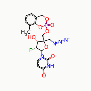 Cc1cccc2c1OP(=O)(OC[C@@]1(CN=[N+]=[N-])O[C@@H](n3ccc(=O)[nH]c3=O)[C@H](F)[C@@H]1O)OC2